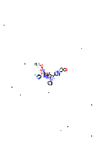 COCCN1C[C@@H](NC(=O)Nc2c(C)c(-c3cnc(N4CCC5(COC5)C4)nc3)nn2-c2ccccc2)[C@H](c2ccnc(F)c2)O1